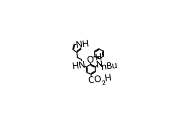 CCCCNc1cc(C(=O)O)cc(NCCc2cc[nH]c2)c1Oc1ccccc1